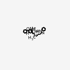 CO[C@]1(c2ccccc2)C[C@H]2CC[C@@H]1C[C@@]2(O)CCN(C)CCCc1nc2ccccc2[nH]1